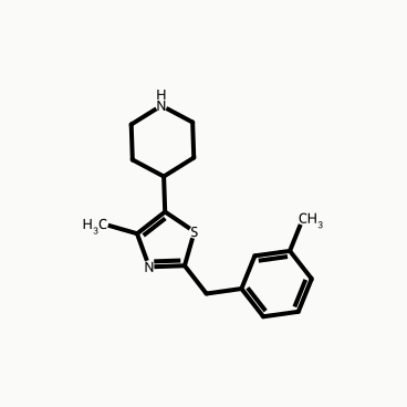 Cc1cccc(Cc2nc(C)c(C3CCNCC3)s2)c1